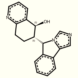 O[C@@H]1c2cccnc2CC[C@H]1C1c2ccccc2-c2cncn21